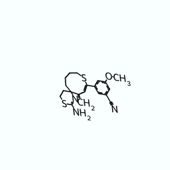 C=C1/C=C(/c2cc(C#N)cc(OC)c2)SCCCCC12CCSC(N)=N2